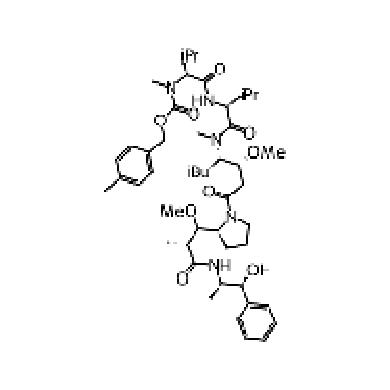 CC[C@H](C)[C@@H]([C@@H](CC(=O)N1CCC[C@H]1[C@H](OC)[C@@H](C)C(=O)N[C@H](C)[C@@H](O)c1ccccc1)OC)N(C)C(=O)[C@@H](NC(=O)[C@H](C(C)C)N(C)C(=O)OCc1ccc(C)cc1)C(C)C